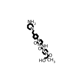 CC(CO)C(=O)N1CCN(C(=O)Nc2ccn(-c3ccc(CCN4CCCC(N)CC4)cc3)c(=O)n2)CC1